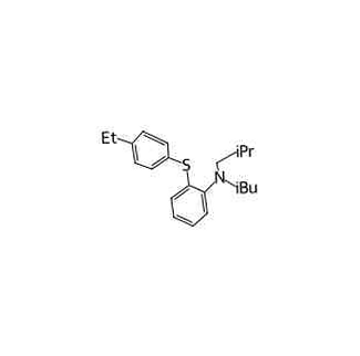 CCc1ccc(Sc2ccccc2N(CC(C)C)C(C)CC)cc1